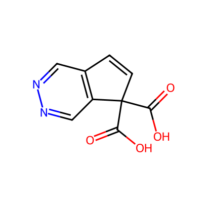 O=C(O)C1(C(=O)O)C=Cc2cnncc21